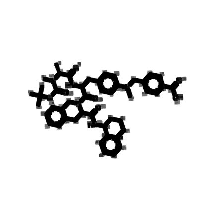 C[C@@H](C(=O)NC(Cc1ccc(N(C)Cc2ccc(C(=O)O)cc2)cc1)C(=O)N1Cc2ccccc2CC1C(=O)NC1CCCc2ccccc21)N(C)C(=O)OC(C)(C)C